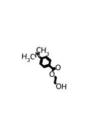 CN(C)c1ccc(C(=O)OCCO)cc1